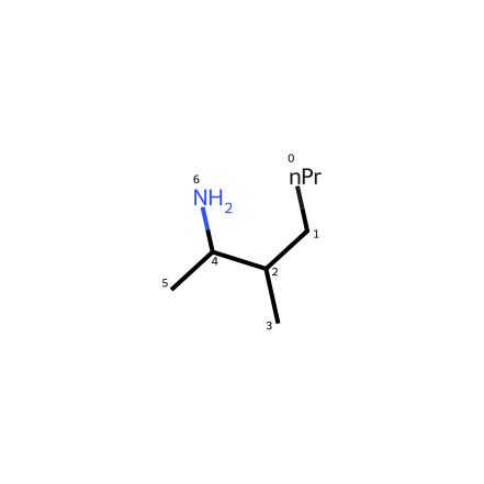 CCCCC(C)C(C)N